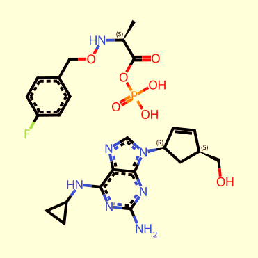 C[C@H](NOCc1ccc(F)cc1)C(=O)OP(=O)(O)O.Nc1nc(NC2CC2)c2ncn([C@H]3C=C[C@@H](CO)C3)c2n1